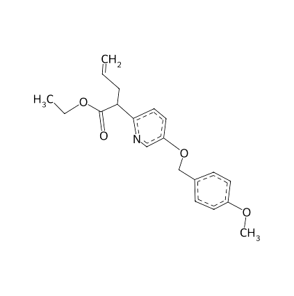 C=CCC(C(=O)OCC)c1ccc(OCc2ccc(OC)cc2)cn1